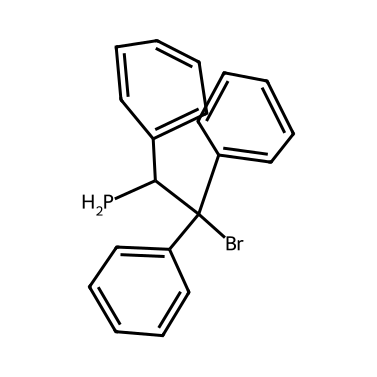 PC(c1ccccc1)C(Br)(c1ccccc1)c1ccccc1